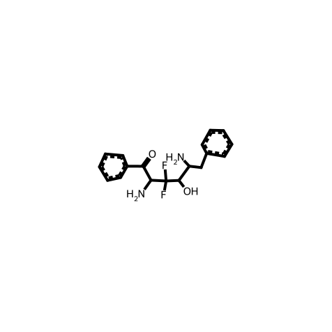 NC(Cc1ccccc1)C(O)C(F)(F)C(N)C(=O)c1ccccc1